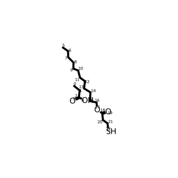 CCC(=O)O.CCCCCCCCCCCCOC(=O)CCS